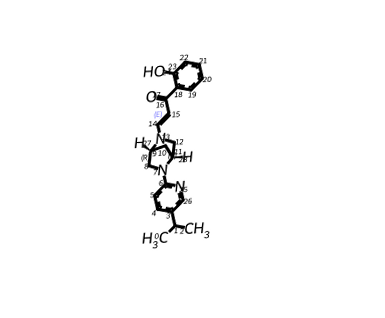 CC(C)c1ccc(N2C[C@H]3C[C@@H]2CN3/C=C/C(=O)c2ccccc2O)nc1